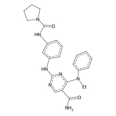 CCN(c1ccccc1)c1nc(Nc2cccc(NC(=O)N3CCCC3)c2)ncc1C(N)=O